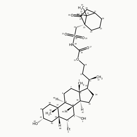 CC[C@H]1[C@@H](O)[C@@H]2[C@H](CC[C@]3(C)[C@@H]([C@H](C)CCOC(=O)NS(=O)(=O)C[C@]45CCCC(CC4=O)C5(C)C)CC[C@@H]23)[C@@]2(C)CC[C@@H](O)C[C@@H]12